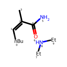 CCCCC=C(C)C(N)=O.CCNCC